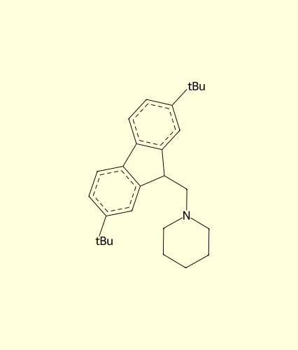 CC(C)(C)c1ccc2c(c1)C(CN1CCCCC1)c1cc(C(C)(C)C)ccc1-2